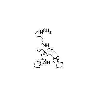 CN1CCCC1CCNC(=O)C(C)(Cc1c[nH]c2ccccc12)NCc1cc2ccccc2o1